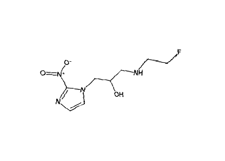 O=[N+]([O-])c1nccn1CC(O)CNCCF